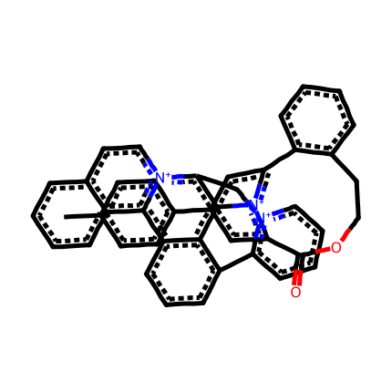 Cc1ccc(-c2cc3[n+](-c4c5[n+]6ccc7ccccc7c6c6cccc(c46)-c4cccc[n+]4C5)c(c2)-c2ccccc2CCOC3=O)cc1